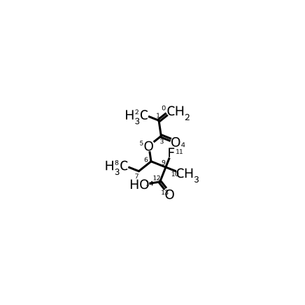 C=C(C)C(=O)OC(CC)C(C)(F)C(=O)O